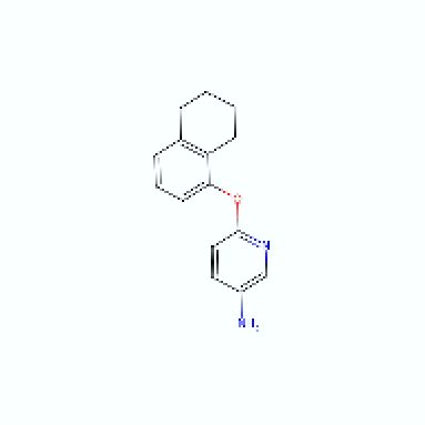 Nc1ccc(Oc2cccc3c2CCCC3)nc1